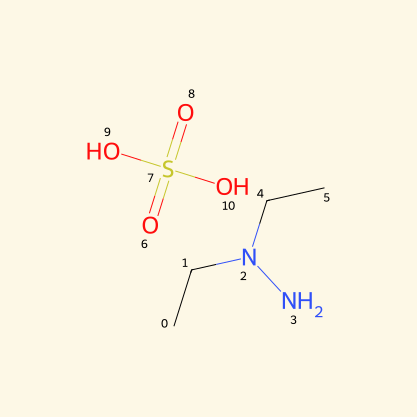 CCN(N)CC.O=S(=O)(O)O